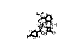 CN(C)C(=O)c1cccc(Nc2c(NN(C)C(=O)c3ccc(F)cc3)c(=O)c2=O)c1O